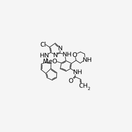 C=CC(=O)Nc1ccc(OC)c(Nc2ncc(Cl)c(Nc3ccc4ccccc4c3)n2)c1C1CNCCO1